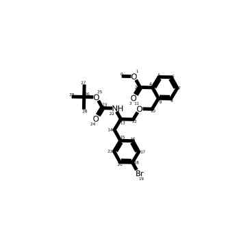 COC(=O)c1ccccc1COCC(Cc1ccc(Br)cc1)NC(=O)OC(C)(C)C